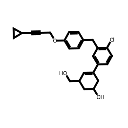 OCC1C=C(c2ccc(Cl)c(Cc3ccc(OCC#CC4CC4)cc3)c2)CC(O)C1